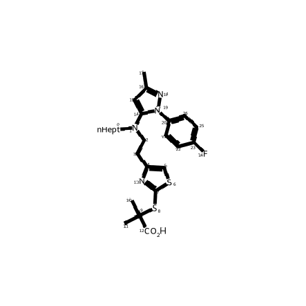 CCCCCCCN(CCc1csc(SC(C)(C)C(=O)O)n1)c1cc(C)nn1-c1ccc(F)cc1